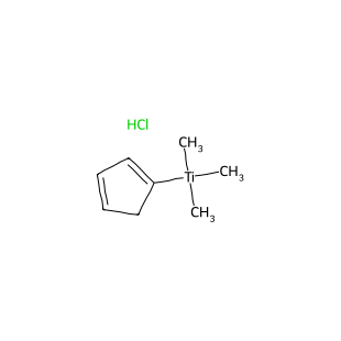 Cl.[CH3][Ti]([CH3])([CH3])[C]1=CC=CC1